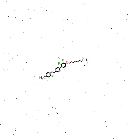 CCCCCCCCOc1ccc(-c2ccc(CCc3ccc(C)cc3F)cc2)c(F)c1F